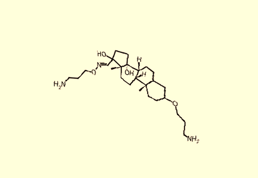 C[C@]12CCC(OCCCN)CC1CC[C@@H]1[C@H]2CC[C@]2(C)C(O)(/C=N/OCCCN)CC[C@@]12O